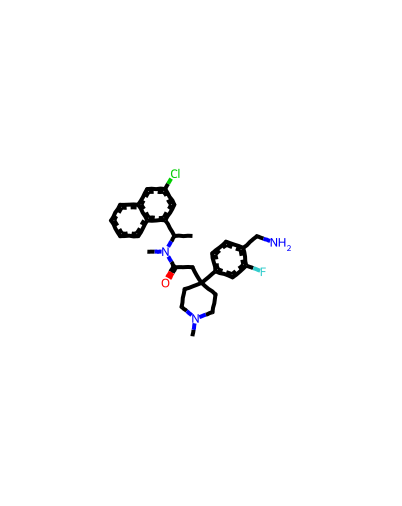 CC(c1cc(Cl)cc2ccccc12)N(C)C(=O)CC1(c2ccc(CN)c(F)c2)CCN(C)CC1